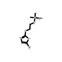 CC(C)(C)[Si](C)(C)OCCOc1ncc(Br)s1